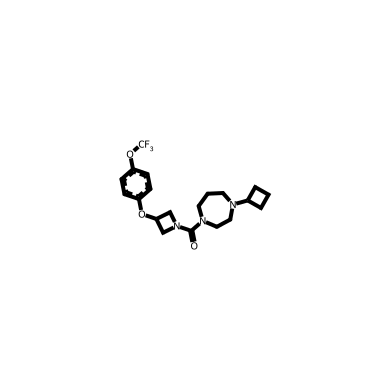 O=C(N1CCCN(C2CCC2)CC1)N1CC(Oc2ccc(OC(F)(F)F)cc2)C1